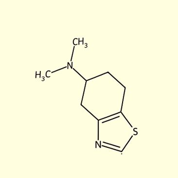 CN(C)C1CCc2s[c]nc2C1